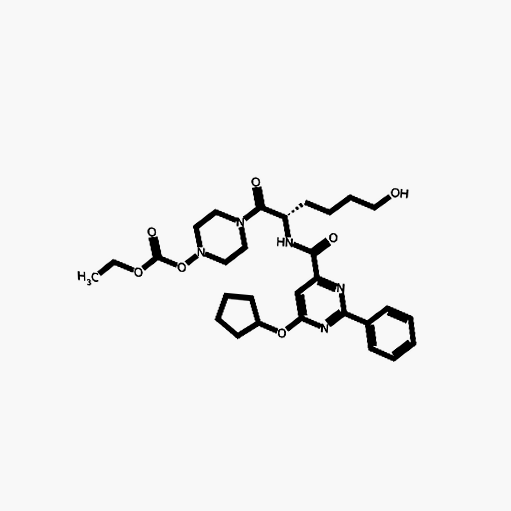 CCOC(=O)ON1CCN(C(=O)[C@H](CCCCO)NC(=O)c2cc(OC3CCCC3)nc(-c3ccccc3)n2)CC1